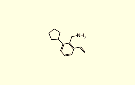 C=Cc1cccc(C2CCCC2)c1CN